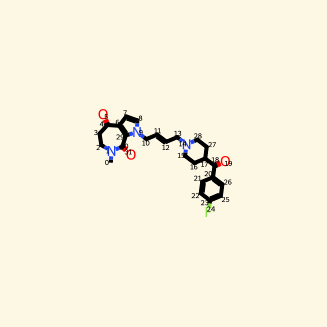 CN1CCC(=O)c2ccn(CC=CCN3CCC(C(=O)c4ccc(F)cc4)CC3)c2C1=O